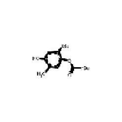 CCCCC(=O)Oc1cc(C)c(O)cc1C(C)(C)C